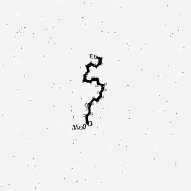 CC/C=C\C/C=C\C/C=C\C/C=C\C/C=C\C/C=C\CC1OC1CCC(=O)OC